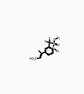 CCOP(=O)(OCC)C(F)(F)c1cccc(C(C)=CC(=O)O)c1